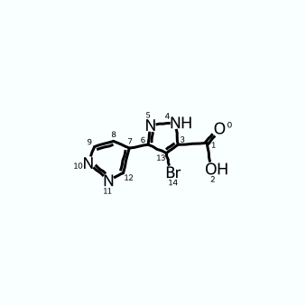 O=C(O)c1[nH]nc(-c2ccnnc2)c1Br